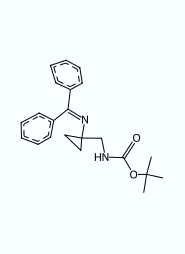 CC(C)(C)OC(=O)NCC1(N=C(c2ccccc2)c2ccccc2)CC1